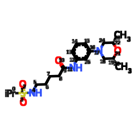 CC(C)S(=O)(=O)NCCCCC(=O)Nc1cccc(N2C[C@@H](C)O[C@@H](C)C2)c1